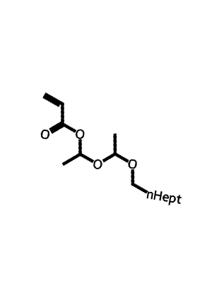 C=CC(=O)OC(C)OC(C)OCCCCCCCC